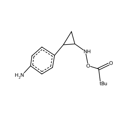 CC(C)(C)C(=O)ONC1CC1c1ccc(N)cc1